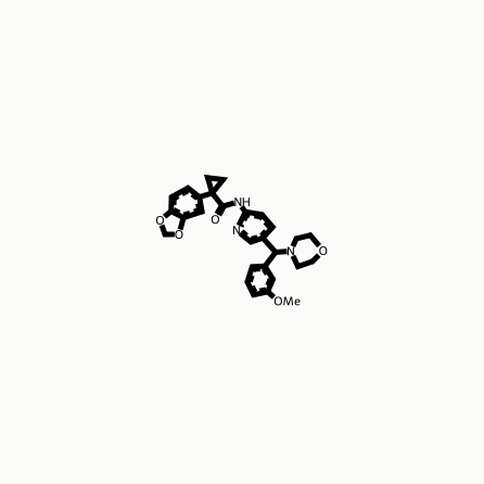 COc1cccc(C(c2ccc(NC(=O)C3(c4ccc5c(c4)OCO5)CC3)nc2)N2CCOCC2)c1